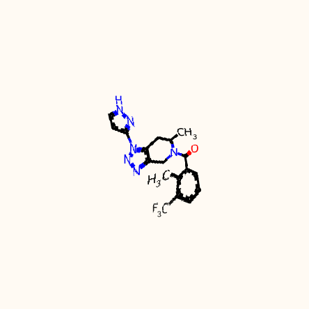 Cc1c(C(=O)N2Cc3nnn(-c4cc[nH]n4)c3CC2C)cccc1C(F)(F)F